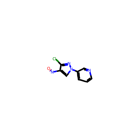 O=Nc1cn(-c2cccnc2)nc1Cl